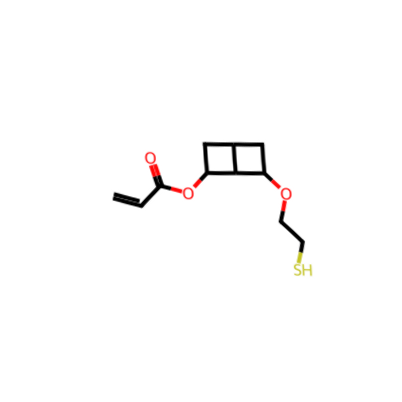 C=CC(=O)OC1CC2CC(OCCS)C21